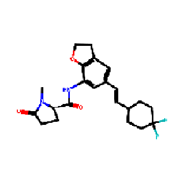 CN1C(=O)CC[C@@H]1C(=O)Nc1cc(/C=C/C2CCC(F)(F)CC2)cc2c1OCC2